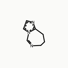 C1=NCCCc2nccn21